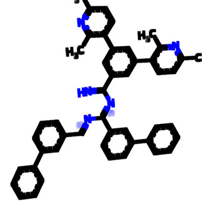 Cc1ccc(-c2cc(C(=N)/N=C(\N=C\c3cccc(-c4ccccc4)c3)c3cccc(-c4ccccc4)c3)cc(-c3ccc(C)nc3C)c2)c(C)n1